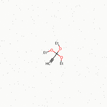 C#CC(OCC)(OCC)OCC